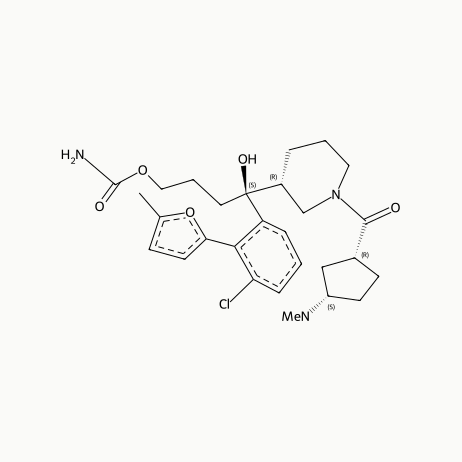 CN[C@H]1CC[C@@H](C(=O)N2CCC[C@@H]([C@@](O)(CCCOC(N)=O)c3cccc(Cl)c3-c3ccc(C)o3)C2)C1